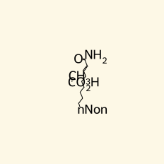 CC(=O)O.CCCCCCCCCCCCCCCC=CC(N)=O